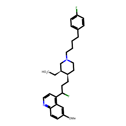 COc1ccc2nccc(C(F)CC[C@@H]3CCN(CCCCc4ccc(F)cc4)C[C@@H]3CC(=O)O)c2c1